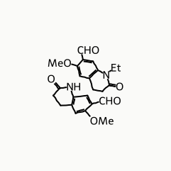 CCN1C(=O)CCc2cc(OC)c(C=O)cc21.COc1cc2c(cc1C=O)NC(=O)CC2